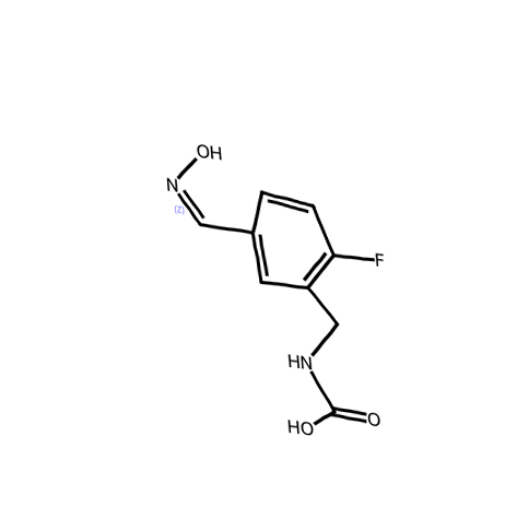 O=C(O)NCc1cc(/C=N\O)ccc1F